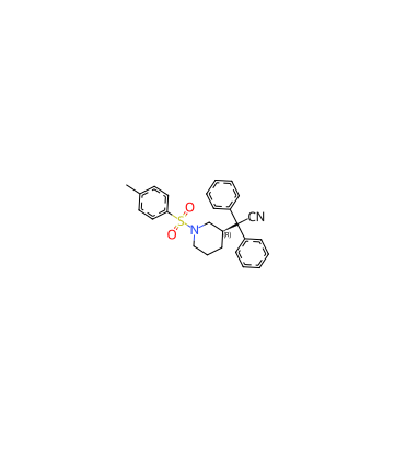 Cc1ccc(S(=O)(=O)N2CCC[C@H](C(C#N)(c3ccccc3)c3ccccc3)C2)cc1